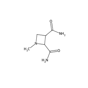 CN1C[C](C(N)=O)C1C(N)=O